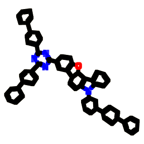 C1=CC2c3cc(-c4nc(-c5ccc(-c6ccccc6)cc5)nc(-c5ccc(-c6ccccc6)cc5)n4)ccc3OC2c2c1n(-c1cccc(-c3ccc(-c4ccccc4)cc3)c1)c1ccccc21